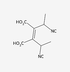 [C-]#[N+]C(C)C(C(=O)O)=C(C(=O)O)C(C)[N+]#[C-]